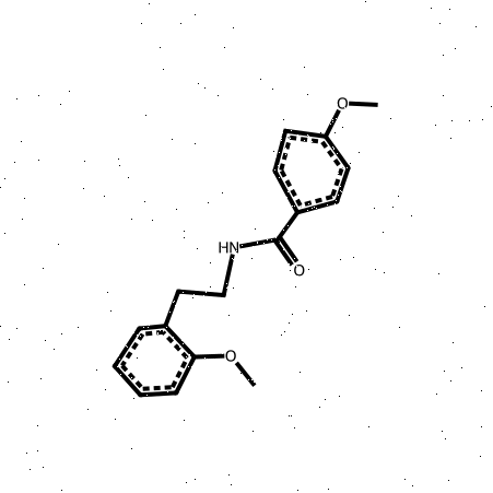 COc1ccc(C(=O)NCCc2ccccc2OC)cc1